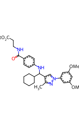 CCOC(=O)CCNC(=O)c1ccc(NC(c2cn(-c3cc(OC)cc(OC)c3)nc2C)C2CCCCC2)cc1